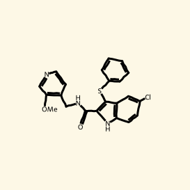 COc1cnccc1CNC(=O)c1[nH]c2ccc(Cl)cc2c1Sc1ccccc1